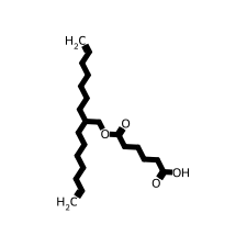 C=CCCCCCC(CCCCCC=C)COC(=O)CCCCC(=O)O